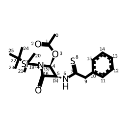 CC(=O)O[C@H]1[C@H](NC(=S)Cc2ccccc2)C(=O)N1[Si](C)(C)C(C)(C)C